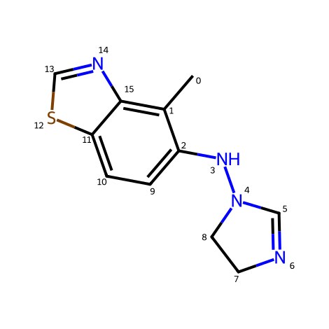 Cc1c(NN2C=NCC2)ccc2scnc12